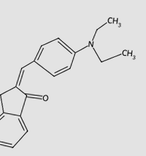 CCN(CC)c1ccc(/C=C2/Cc3ccccc3C2=O)cc1